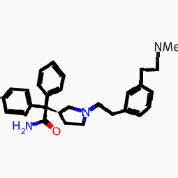 CNCCc1cccc(CCN2CC[C@@H](C(C(N)=O)(c3ccccc3)c3ccccc3)C2)c1